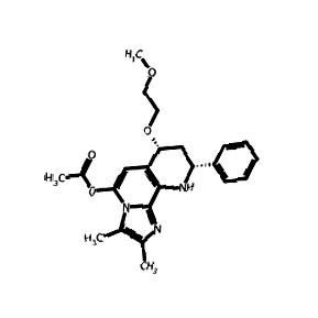 COCCO[C@@H]1C[C@H](c2ccccc2)Nc2c1cc(OC(C)=O)n1c(C)c(C)nc21